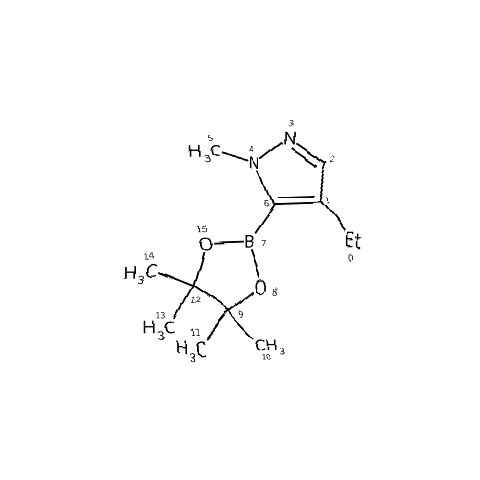 CCc1cnn(C)c1B1OC(C)(C)C(C)(C)O1